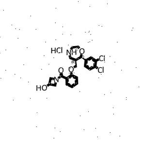 Cl.O=C(c1ccccc1OC[C@H]1CNCCO[C@H]1c1ccc(Cl)c(Cl)c1)N1CC(O)C1